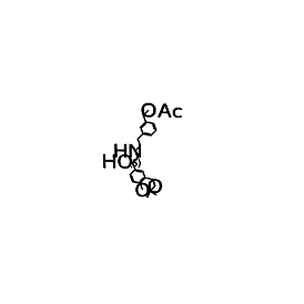 CC(=O)OCc1cccc(CCNC[C@@H](O)c2ccc3c(c2)COC(C)(C)O3)c1